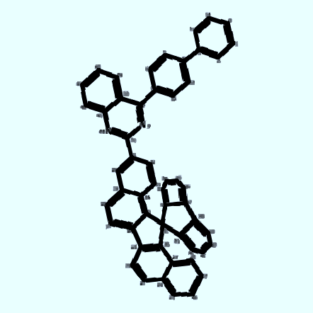 c1ccc(-c2ccc(-c3nc(-c4ccc5c6c(ccc5c4)-c4ccc5ccccc5c4C64c5ccccc5-c5ccccc54)nc4ccccc34)cc2)cc1